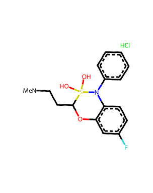 CNCCC1Oc2cc(F)ccc2N(c2ccccc2)S1(O)O.Cl